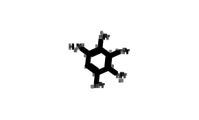 CCCc1cc(N)c(CCC)c(CCC)c1CCC